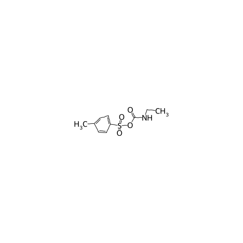 CCNC(=O)OS(=O)(=O)c1ccc(C)cc1